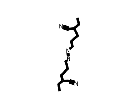 CCC(C#N)CCCN=NCCCC(C#N)CC